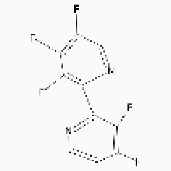 Fc1ccnc(-c2ncc(F)c(F)c2F)c1F